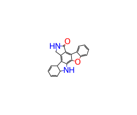 O=C1NCc2c3c(c4oc5ccccc5c4c21)NC1C=CC=CC31